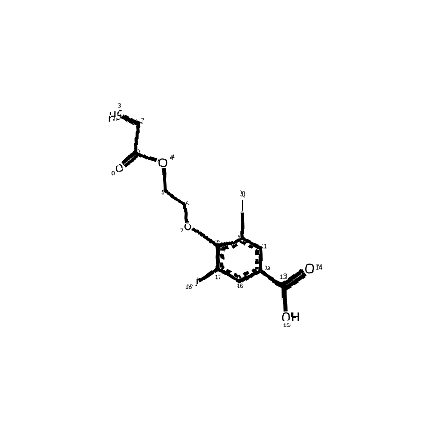 O=C(CS)OCCOc1c(I)cc(C(=O)O)cc1I